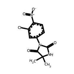 CC1(C)NC(=O)N(c2ccc([N+](=O)[O-])c(Cl)c2)C1=O